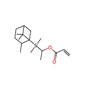 C=CC(=O)OC(C)[Si](C)(C)C12CC(CCC1C)C2(C)C